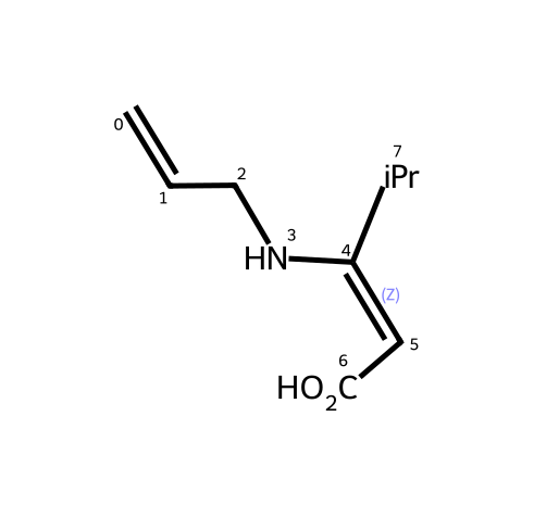 C=CCN/C(=C\C(=O)O)C(C)C